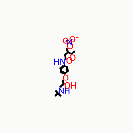 CC(=O)C(CO[N+](=O)[O-])CC(=O)Nc1ccc(OCC(O)CNC(C)(C)C)cc1